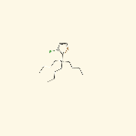 CCC[CH2][Sn]([CH2]CCC)([CH2]CCC)[c]1sccc1F